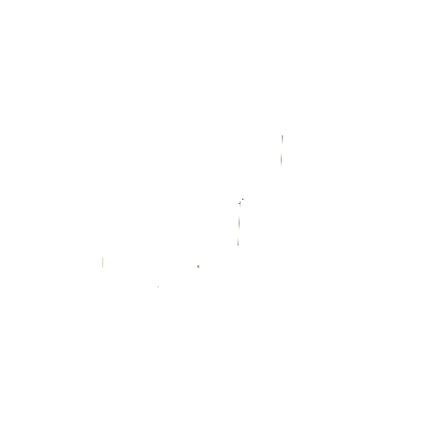 CC(C)OC(=O)CC(F)(F)CO